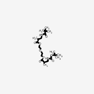 CC(CNC(=O)OC(C)(C)C)C(=O)OCCOCCOC(=O)C(C)CNC(=O)C(C)(C)C